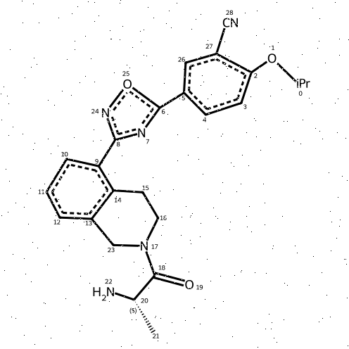 CC(C)Oc1ccc(-c2nc(-c3cccc4c3CCN(C(=O)[C@H](C)N)C4)no2)cc1C#N